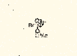 COc1ccc(CN2CC[n+]3ccc4ccccc4c32)cc1.[Br-]